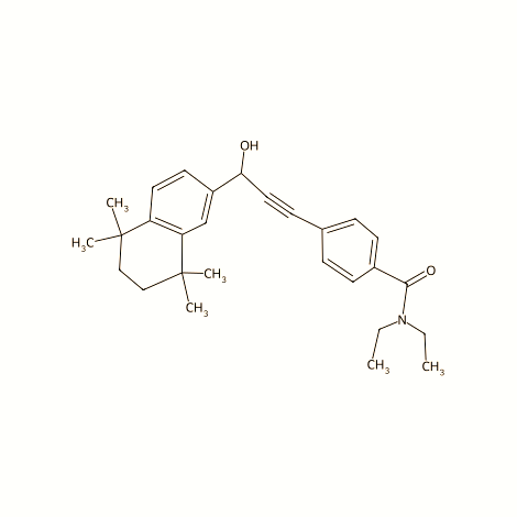 CCN(CC)C(=O)c1ccc(C#CC(O)c2ccc3c(c2)C(C)(C)CCC3(C)C)cc1